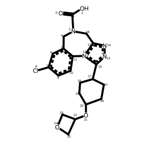 O=C(O)N1Cc2cc(Cl)ccc2-n2c(nnc2C2CCC(OC3COC3)CC2)C1